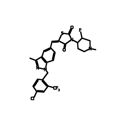 Cc1nn(Cc2ccc(Cl)cc2C(F)(F)F)c2ccc(C=C3SC(=O)N(C4CCN(C)CC4F)C3=O)cc12